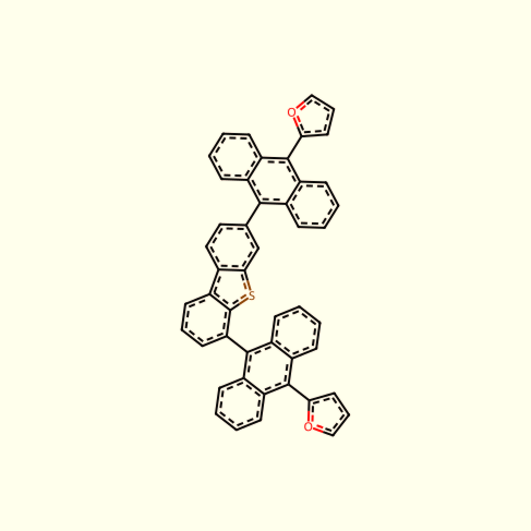 c1coc(-c2c3ccccc3c(-c3ccc4c(c3)sc3c(-c5c6ccccc6c(-c6ccco6)c6ccccc56)cccc34)c3ccccc23)c1